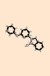 [O-][S+]1c2ccccc2CN1c1cccc(Oc2cccnc2)n1